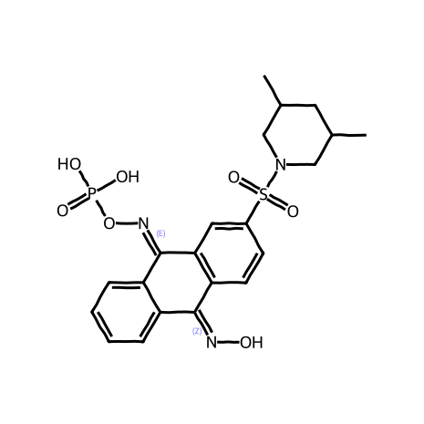 CC1CC(C)CN(S(=O)(=O)c2ccc3c(c2)/C(=N/OP(=O)(O)O)c2ccccc2/C3=N/O)C1